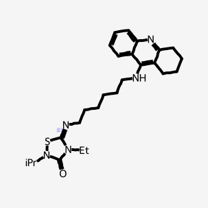 CCn1c(=O)n(C(C)C)s/c1=N/CCCCCCNc1c2c(nc3ccccc13)CCCC2